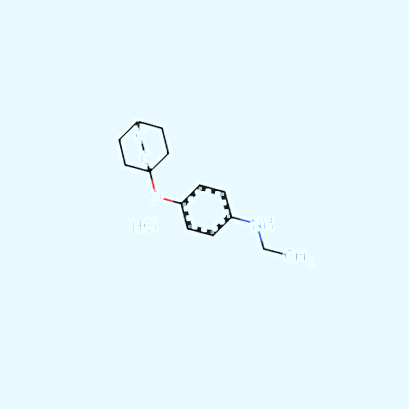 CCNc1ccc(OC23CCC(CC2)CC3)cc1.Cl